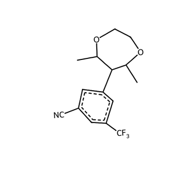 CC1OCCOC(C)C1c1cc(C#N)cc(C(F)(F)F)c1